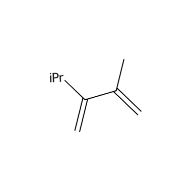 C=C(C)C(=C)C(C)C